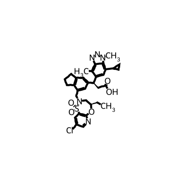 CC[C@@H]1CN(Cc2cc([C@H](CC(=O)O)c3cc(C4CC4)c4c(nnn4C)c3C)cc3c2CCC3)S(=O)(=O)c2cc(Cl)cnc2O1